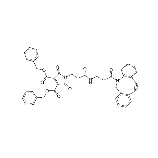 O=C(CCN1C(=O)C(C(=O)OCc2ccccc2)=C(C(=O)OCc2ccccc2)C1=O)NCCC(=O)N1Cc2ccccc2C#Cc2ccccc21